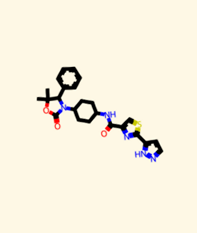 CC1(C)OC(=O)N(C2CCC(NC(=O)c3csc(-c4ccn[nH]4)n3)CC2)C1c1ccccc1